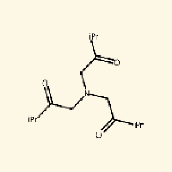 CC(C)C(=O)CN(CC(=O)C(C)C)CC(=O)C(C)C